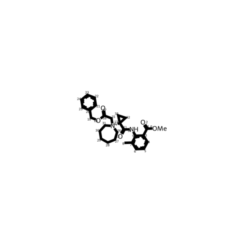 COC(=O)c1cccc(C)c1NC(=O)C1([N+]2(CC(=O)OCc3ccccc3)CCCCCC2)CC1